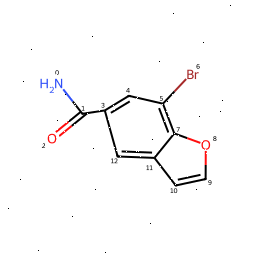 NC(=O)c1cc(Br)c2occc2c1